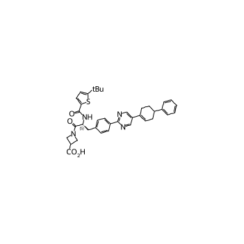 CC(C)(C)c1ccc(C(=O)N[C@@H](Cc2ccc(-c3ncc(C4=CCC(c5ccccc5)CC4)cn3)cc2)C(=O)N2CC(C(=O)O)C2)s1